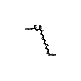 CCCCCCCCCOCCOCCOCCCC(=O)OC(C)CCCCC